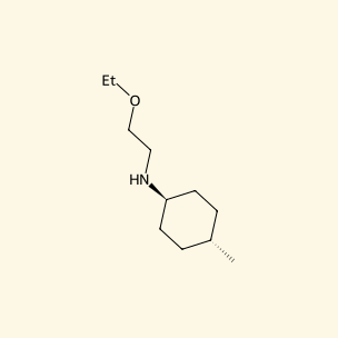 CCOCCN[C@H]1CC[C@H](C)CC1